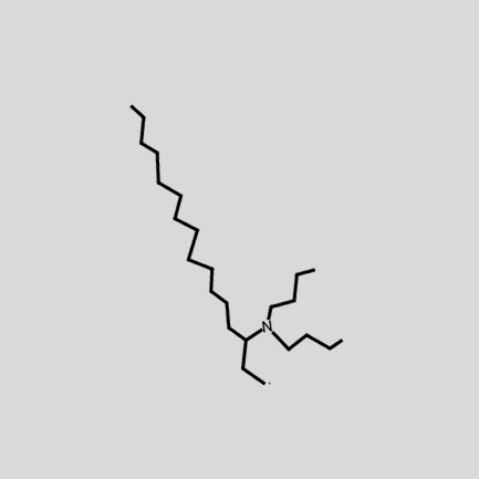 [CH2]CC(CCCCCCCCCCCCC)N(CCCC)CCCC